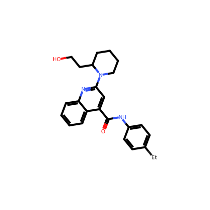 CCc1ccc(NC(=O)c2cc(N3CCCCC3CCO)nc3ccccc23)cc1